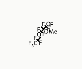 COC(C)(C(F)(F)OF)C(F)(F)OCC(F)(F)C(F)(F)F